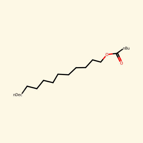 CCCCCCCCCCCCCCCCCCCCOC(=O)CCCC